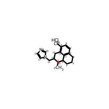 CCC12CCCc3ccc(Cl)c(c31)CC(Cn1ccnc1)C2.Cl